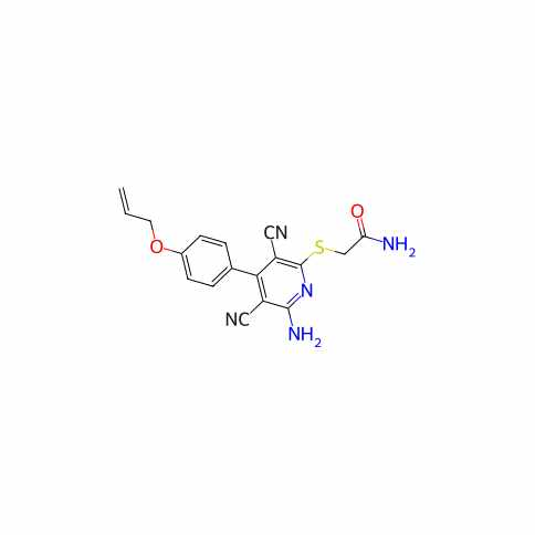 C=CCOc1ccc(-c2c(C#N)c(N)nc(SCC(N)=O)c2C#N)cc1